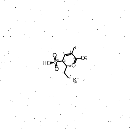 CCCC(C=C(C)C(=O)[O-])S(=O)(=O)O.[K+]